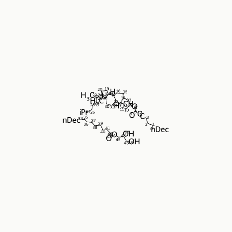 CCCCCCCCCCCCCCCC(=O)O[C@H]1CC[C@@]2(C)C(=CC[C@H]3[C@@H]4CC[C@H](C(C)CCCC(C)C)[C@@]4(C)CC[C@@H]32)C1.CCCCCCCCCCCCCCCCCC(=O)OCC(O)CO